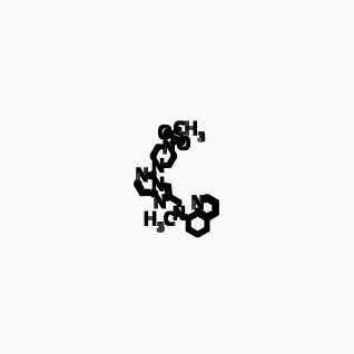 CN(Cc1cn2c(N3CCN(S(C)(=O)=O)CC3)nccc2n1)C1CCCc2cccnc21